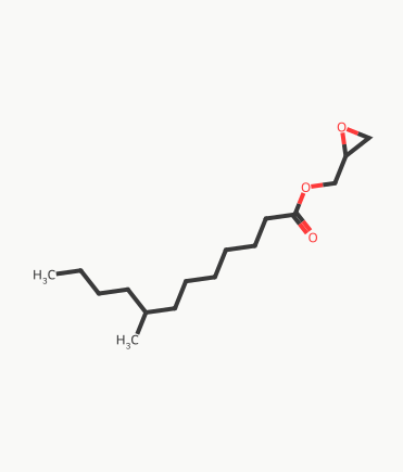 CCCCC(C)CCCCCCC(=O)OCC1CO1